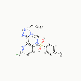 COCc1nnc(-c2nc(Cl)ccc2NS(=O)(=O)c2ccc(C(C)(C)C)cc2)n1C(C)C